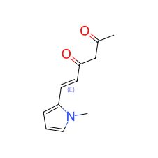 CC(=O)CC(=O)/C=C/c1cccn1C